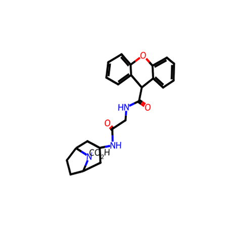 O=C(CNC(=O)C1c2ccccc2Oc2ccccc21)NC1CC2CCC(C1)N2C(=O)O